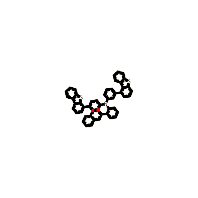 c1cc(-c2cccc3sc4ccccc4c23)cc(N(c2ccc(-c3cccc4c3sc3ccccc34)cc2)c2ccccc2-c2ccc3ccccc3c2)c1